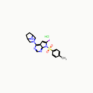 Cc1ccc(S(=O)(=O)n2c(I)cc3c(N4CC5CCC(C4)N5)ncnc32)cc1.Cl